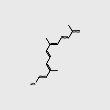 C=C(C)C=CC=C(C)C=CC=C(C)C=CC=O